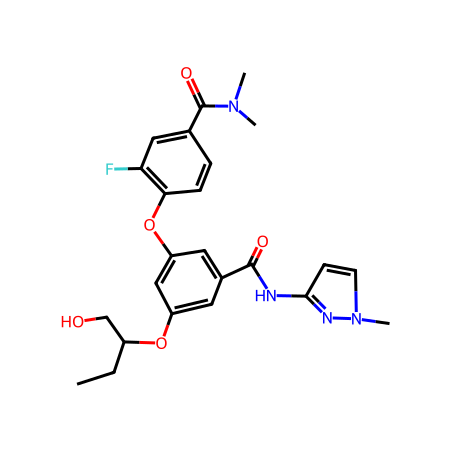 CCC(CO)Oc1cc(Oc2ccc(C(=O)N(C)C)cc2F)cc(C(=O)Nc2ccn(C)n2)c1